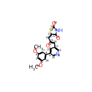 COc1cc(OC)cc(-c2cncc3cc(/C=C4/SC(=O)NC4=O)oc23)c1